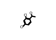 CC([O])c1ccc(Cl)cc1Cl